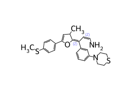 CSc1ccc(C2=CC(C)/C(=C(\C=C/N)c3cccc(N4CCSCC4)c3)O2)cc1